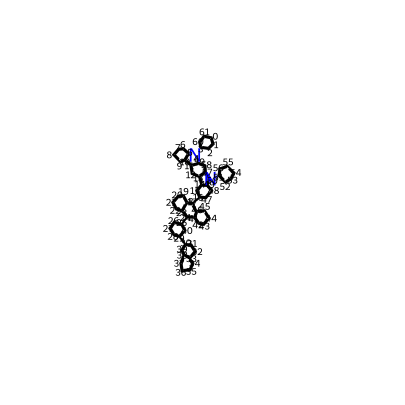 c1ccc(-n2c3ccccc3c3cc4c5cc(-c6c7ccccc7c(-c7cccc(-c8ccc9ccccc9c8)c7)c7ccccc67)ccc5n(-c5ccccc5)c4cc32)cc1